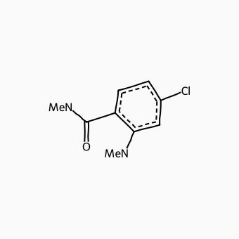 CNC(=O)c1ccc(Cl)cc1NC